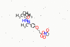 C/C(=N\NC(=O)CC(C)(C)C)c1ccc(OCCCC(=O)ON2C(=O)CCC2=O)cc1